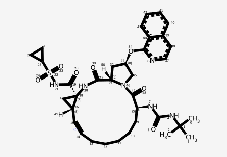 CC(C)(C)NC(=O)N[C@H]1CCCCC/C=C\[C@@H]2C[C@@]2(C(=O)NS(=O)(=O)C2CC2)NC(=O)[C@@H]2C[C@@H](Oc3nccc4ccccc34)CN2C1=O